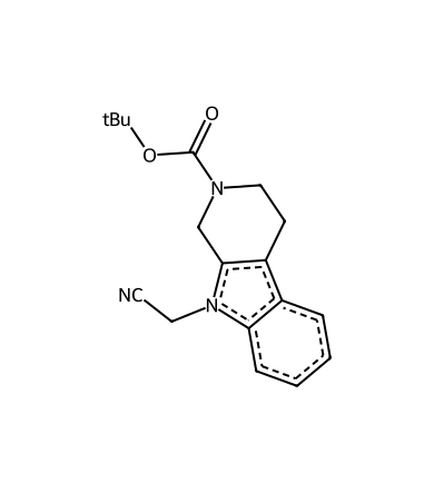 CC(C)(C)OC(=O)N1CCc2c(n(CC#N)c3ccccc23)C1